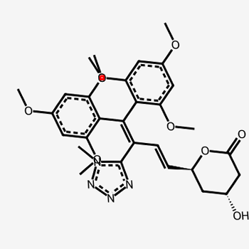 COc1cc(OC)c(C(=C(C=C[C@@H]2C[C@@H](O)CC(=O)O2)c2nnnn2C)c2c(OC)cc(OC)cc2OC)c(OC)c1